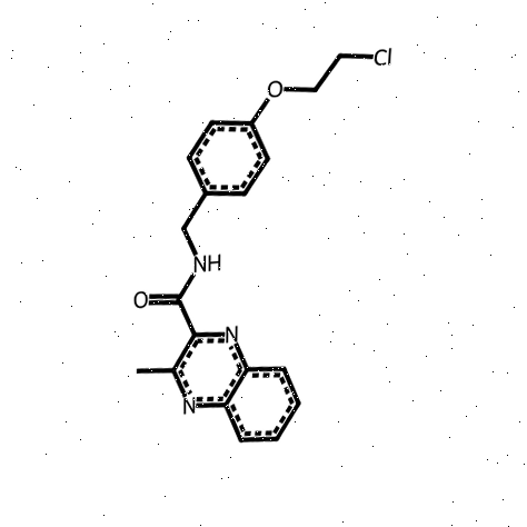 Cc1nc2ccccc2nc1C(=O)NCc1ccc(OCCCl)cc1